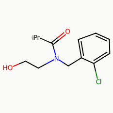 CC(C)C(=O)N(CCO)Cc1ccccc1Cl